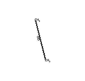 CCC=CCC=CCC=CCC=CCC=CCCCC(=O)CC(=O)CCCCCCCCCCCCCCC